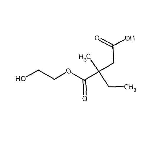 CCC(C)(CC(=O)O)C(=O)OCCO